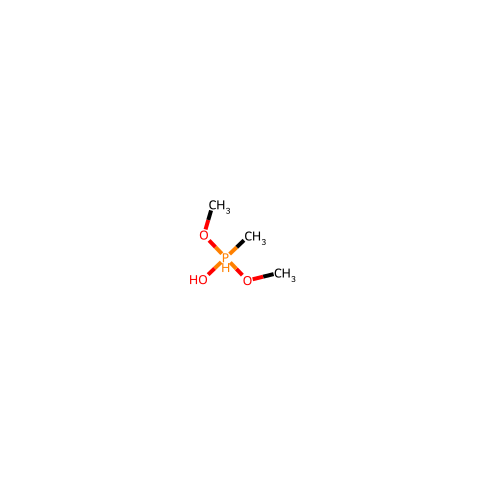 CO[PH](C)(O)OC